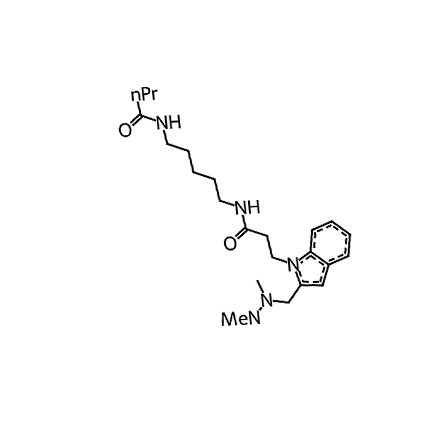 CCCC(=O)NCCCCCNC(=O)CCn1c(CN(C)NC)cc2ccccc21